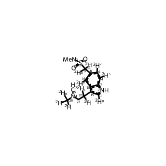 [2H]c1[nH]c2c([2H])c([2H])c(C([2H])([2H])S(=O)(=O)NC)c([2H])c2c1C([2H])([2H])CN(C)C([2H])([2H])[2H]